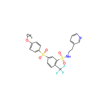 COc1ccc(S(=O)(=O)c2ccc(C(F)(F)F)c(S(=O)(=O)NCCc3cccnc3)c2)cc1